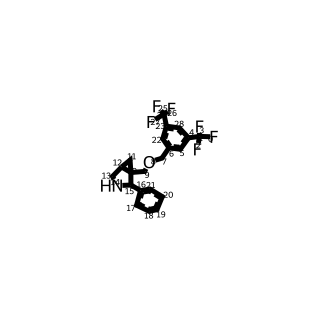 FC(F)(F)c1cc(COCC23CC2CNC3c2ccccc2)cc(C(F)(F)F)c1